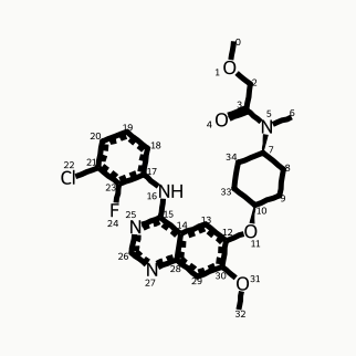 COCC(=O)N(C)[C@H]1CC[C@@H](Oc2cc3c(Nc4cccc(Cl)c4F)ncnc3cc2OC)CC1